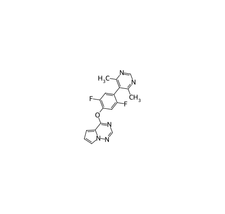 Cc1ncnc(C)c1-c1cc(F)c(Oc2ncnn3cccc23)cc1F